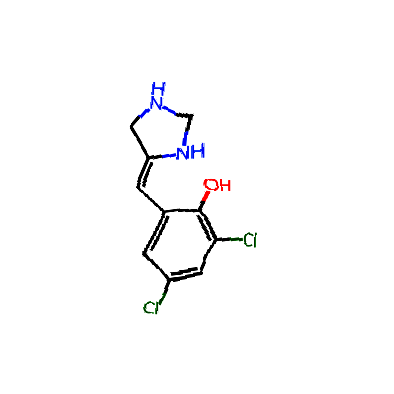 Oc1c(Cl)cc(Cl)cc1C=C1CNCN1